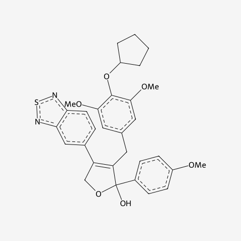 COc1ccc(C2(O)OCC(c3ccc4nsnc4c3)=C2Cc2cc(OC)c(OC3CCCC3)c(OC)c2)cc1